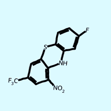 O=[N+]([O-])c1cc(C(F)(F)F)cc2c1Nc1cc(F)ccc1S2